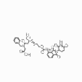 C[C@H](CC(=O)N(CC(=O)O)Cc1ccccc1)SSCCOC(=O)Nc1cccc2c1C(=O)N(C1CCC(=O)NC1=O)C2=O